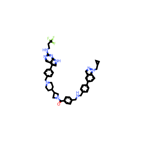 O=C(c1ccc(CNCc2ccc(-c3ccc4c(cnn4CC4CC4)c3)cc2)cc1)N1CC(C2CCN(Cc3ccc(-c4c[nH]c5nc(NCCC(F)(F)F)ncc45)cc3)CC2)C1